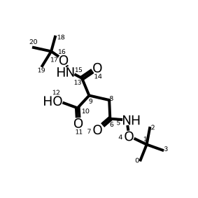 CC(C)(C)ONC(=O)CC(C(=O)O)C(=O)NOC(C)(C)C